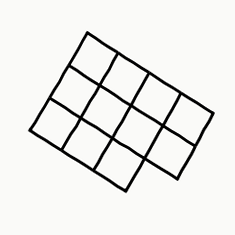 C1C2C3CC4C5C6CC7CC89CC%10C1C21C34C5(C768)C%1091